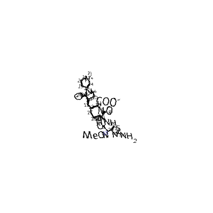 CO/N=C(\C(=O)N[C@@H]1C(=O)N2C(C(=O)[O-])=C(C=C3CCN(c4ccc[n+](C)c4)C3=O)CC[C@H]12)c1csc(N)n1